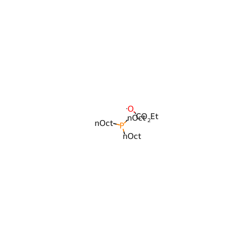 CCCCCCCCP(CCCCCCCC)CCCCCCCC.CCOC([O])=O